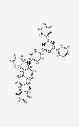 c1ccc(-c2nc(-c3ccccc3)nc(-c3ccc(-n4c5ccccc5c5c6ccc7c8ccccc8sc7c6ccc54)cc3)n2)cc1